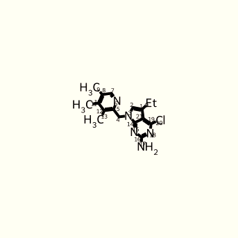 CCc1cn(Cc2ncc(C)c(C)c2C)c2nc(N)nc(Cl)c12